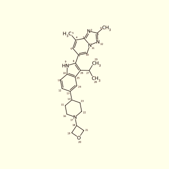 Cc1nc2c(C)cc(-c3[nH]c4ccc(C5CCN(C6COC6)CC5)cc4c3C(C)C)cn2n1